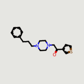 O=C(CN1CCN(CCCc2ccccc2)CC1)c1ccsc1